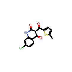 Cc1ccc(C(=O)C2C(=O)Nc3cc(Cl)ccc3C2=O)s1